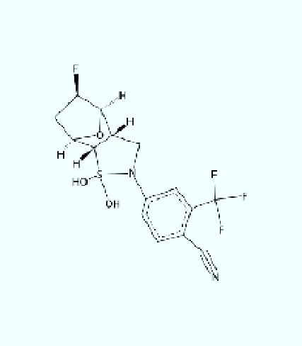 N#Cc1ccc(N2C[C@H]3[C@H]4O[C@H](C[C@H]4F)[C@H]3S2(O)O)cc1C(F)(F)F